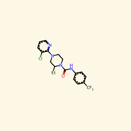 CCC1CN(c2ncccc2Cl)CCN1C(=O)Nc1ccc(C(F)(F)F)cc1